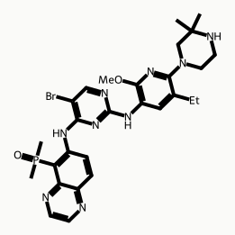 CCc1cc(Nc2ncc(Br)c(Nc3ccc4nccnc4c3P(C)(C)=O)n2)c(OC)nc1N1CCNC(C)(C)C1